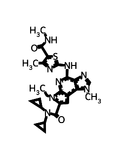 CCn1c(C(=O)N(C2CC2)C2CC2)cc2c3c(ncn3C)c(Nc3nc(C)c(C(=O)NC)s3)nc21